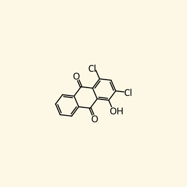 O=C1c2ccccc2C(=O)c2c(O)c(Cl)cc(Cl)c21